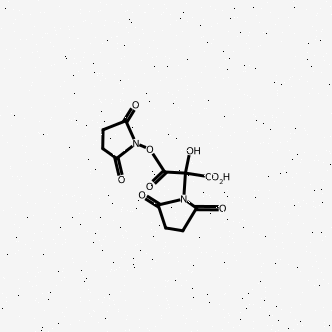 O=C1CCC(=O)N1OC(=O)C(O)(C(=O)O)N1C(=O)CCC1=O